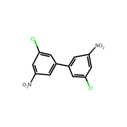 O=[N+]([O-])c1cc(Cl)cc(-c2cc(Cl)cc([N+](=O)[O-])c2)c1